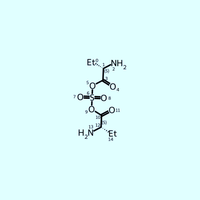 CC[C@H](N)C(=O)OS(=O)(=O)OC(=O)[C@@H](N)CC